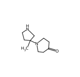 CC1(N2CCC(=O)CC2)CCNC1